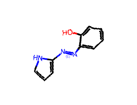 Oc1ccccc1/N=N/c1ccc[nH]1